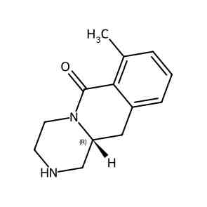 Cc1cccc2c1C(=O)N1CCNC[C@H]1C2